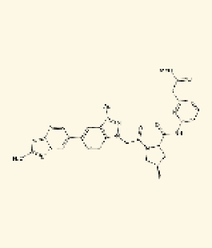 COC(=O)Cc1cccc(NC(=O)[C@@H]2C[C@@H](F)CN2C(=O)Cn2nc(C(C)=O)c3cc(-c4cnc5cc(C)nn5c4)ccc32)n1